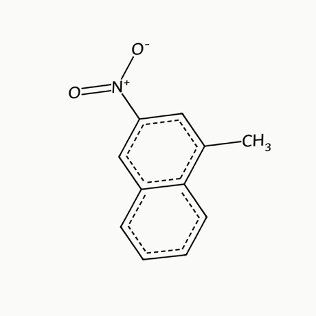 Cc1cc([N+](=O)[O-])cc2ccccc12